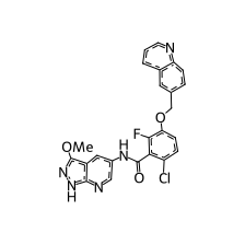 COc1n[nH]c2ncc(NC(=O)c3c(Cl)ccc(OCc4ccc5ncccc5c4)c3F)cc12